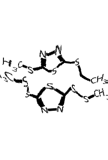 CCSc1nnc(SC)s1.CSSc1nnc(SSC)s1